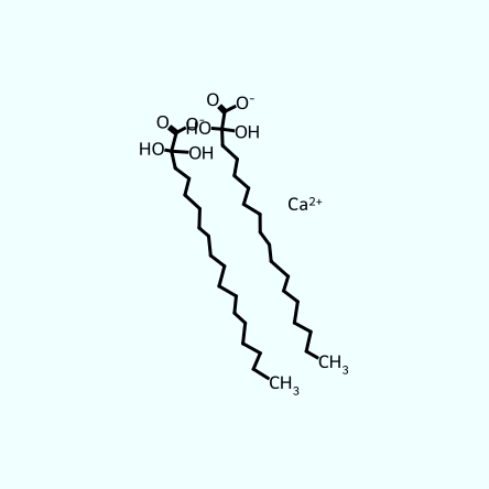 CCCCCCCCCCCCCCCCC(O)(O)C(=O)[O-].CCCCCCCCCCCCCCCCC(O)(O)C(=O)[O-].[Ca+2]